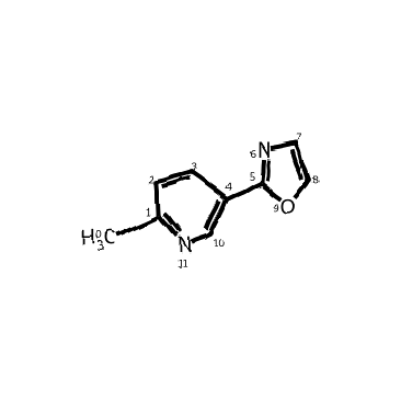 Cc1ccc(-c2ncco2)cn1